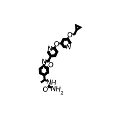 CC(NC(N)=O)c1ccc2nc(-c3ccc(Oc4cncc(OCC5CC5)c4)nc3)oc2c1